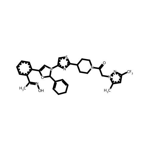 CC(=NO)c1ccccc1C1=CN(c2csc(C3CCN(C(=O)Cn4nc(C(F)(F)F)cc4C)CC3)n2)C(C2=CCCC=C2)O1